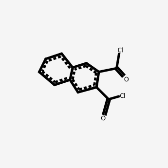 O=C(Cl)c1cc2ccccc2cc1C(=O)Cl